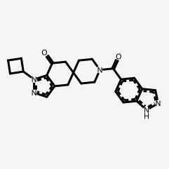 O=C1CC2(CCN(C(=O)c3ccc4[nH]ncc4c3)CC2)Cc2cnn(C3CCC3)c21